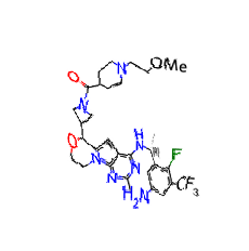 COCCN1CCC(C(=O)N2CC(C3OCCn4c3cc3c(N[C@H](C)c5cc(N)cc(C(F)(F)F)c5F)nc(C)nc34)C2)CC1